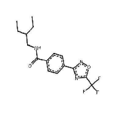 CCC(CC)CNC(=O)c1ccc(-c2noc(C(F)(F)F)n2)cc1